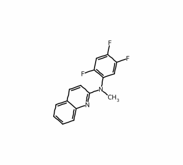 CN(c1ccc2ccccc2n1)c1cc(F)c(F)cc1F